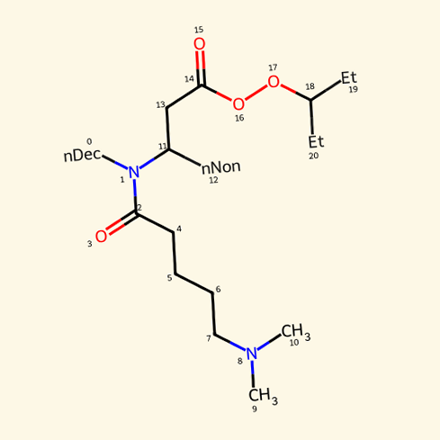 CCCCCCCCCCN(C(=O)CCCCN(C)C)C(CCCCCCCCC)CC(=O)OOC(CC)CC